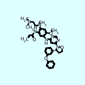 C=CC(=O)Nc1cc(Nc2cc(N3OCC[C@@H]3c3cccc(Oc4ccccc4)c3)ncn2)c(OC)cc1N(C)CCN(C)C